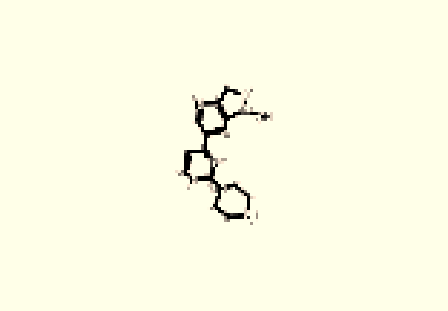 OB1OCc2ncc(-c3ccnc(N4CCNCC4)n3)cc21